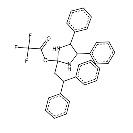 O=C(OC1(CC(c2ccccc2)c2ccccc2)NC(c2ccccc2)C(c2ccccc2)N1)C(F)(F)F